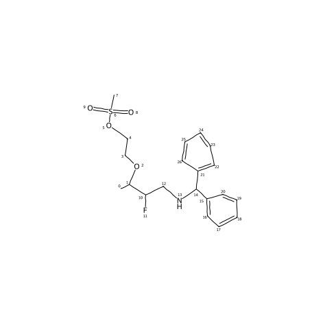 CC(OCCOS(C)(=O)=O)C(F)CNC(c1ccccc1)c1ccccc1